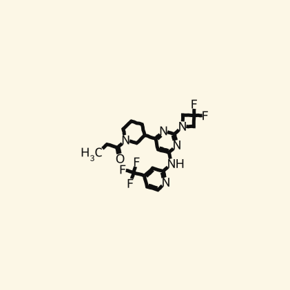 CCC(=O)N1CCCC(c2cc(Nc3cc(C(F)(F)F)ccn3)nc(N3CC(F)(F)C3)n2)C1